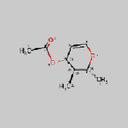 CC(=O)O[C@@H]1C=CO[C@H](C)[C@H]1C